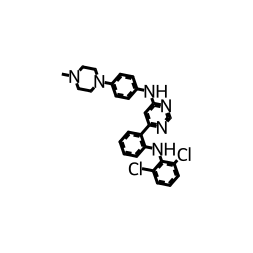 CN1CCN(c2ccc(Nc3cc(-c4ccccc4Nc4c(Cl)cccc4Cl)ncn3)cc2)CC1